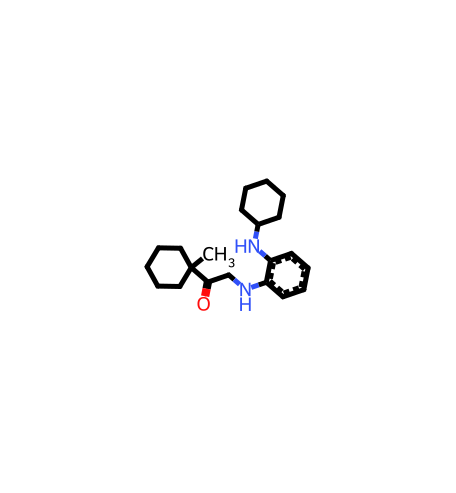 CC1(C(=O)CNc2ccccc2NC2CCCCC2)CCCCC1